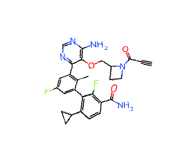 C#CC(=O)N1CCC1COc1c(N)ncnc1-c1cc(F)cc(-c2c(C3CC3)ccc(C(N)=O)c2F)c1C